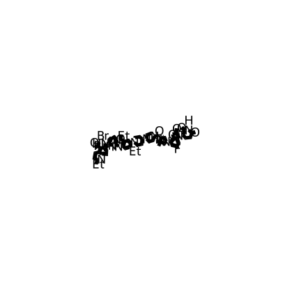 CCOc1cc(N2CCC(N3CCN(C(=O)[C@H]4CN(c5cc(F)cc6c5oc(=O)n6C5CCC(=O)NC5=O)CC4(C)C)CC3)CC2)c(CC)cc1Nc1ncc(Br)c(Nc2ccc3nc(CC)ccc3c2P(C)(C)=O)n1